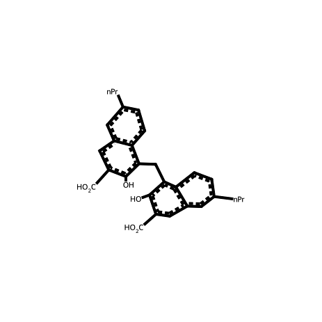 CCCc1ccc2c(Cc3c(O)c(C(=O)O)cc4cc(CCC)ccc34)c(O)c(C(=O)O)cc2c1